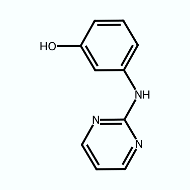 Oc1cccc(Nc2ncccn2)c1